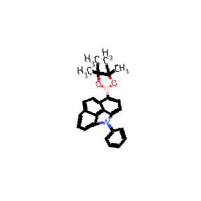 CC1(C)OB(c2ccc3c4c2ccc2cccc(c24)n3-c2ccccc2)OC1(C)C